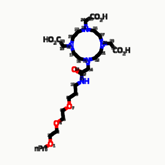 CCCOCCOCCOCCCNC(=O)CN1CCN(CC(=O)O)CCN(CC(=O)O)CCN(CC(=O)O)CC1